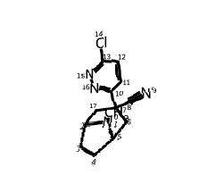 CN1C2CCC1CC(C#N)(c1ccc(Cl)nn1)C2